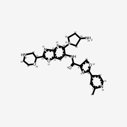 Cc1cc(-c2nc(C(=O)Nc3cc4oc(C5CNCCO5)nc4nc3N3CCC(N)C3)co2)ccn1